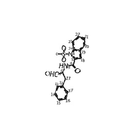 CS(=O)(=O)n1c(C(=O)NC(C=O)Cc2ccccc2)cc2ccccc21